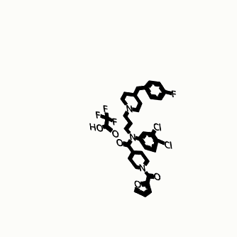 O=C(O)C(F)(F)F.O=C(c1ccco1)N1CCC(C(=O)N(CCCN2CCC(Cc3ccc(F)cc3)CC2)c2ccc(Cl)c(Cl)c2)CC1